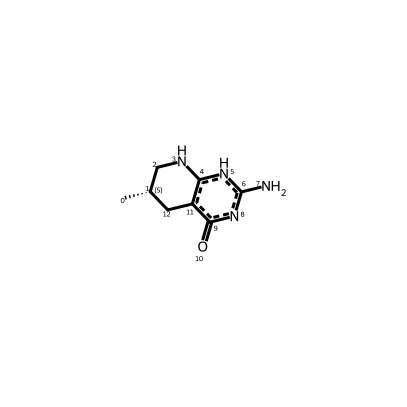 C[C@@H]1CNc2[nH]c(N)nc(=O)c2C1